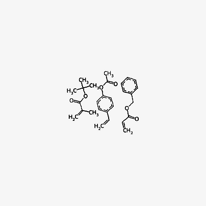 C=C(C)C(=O)OC(C)(C)C.C=CC(=O)OCc1ccccc1.C=Cc1ccc(OC(C)=O)cc1